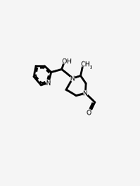 CC1CN(C=O)CCN1C(O)c1ccccn1